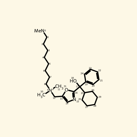 CNCCCCCCCC[N+](C)(C)Cc1cnc(C(O)(c2ccccc2)C2CCCCC2)o1